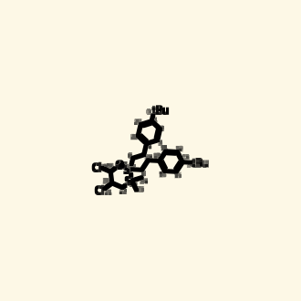 CC(C)(C)c1ccc(CC[Si]2(CCc3ccc(C(C)(C)C)cc3)OC(Cl)C(Cl)C[Si]2(C)C)cc1